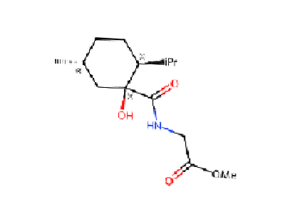 COC(=O)CNC(=O)[C@]1(O)C[C@H](C)CC[C@H]1C(C)C